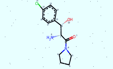 N[C@@H](C(=O)N1CCCC1)[C@@H](O)c1ccc(Cl)cc1